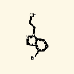 OCCn1ncc2c(Br)cccc21